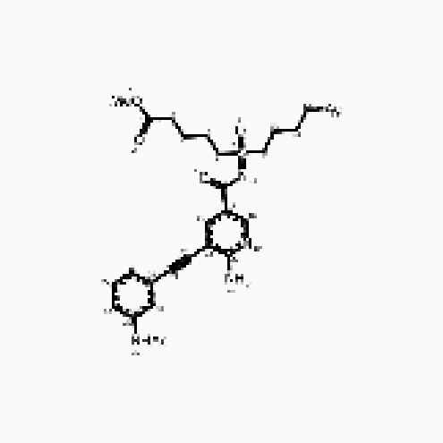 COC(=O)CCCCS(=O)(CCCCC(C)=O)=NC(=O)c1cnc(N)c(C#Cc2cccc(NC(C)=O)c2)c1